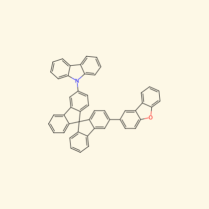 c1ccc2c(c1)-c1cc(-c3ccc4oc5ccccc5c4c3)ccc1C21c2ccccc2-c2cc(-n3c4ccccc4c4ccccc43)ccc21